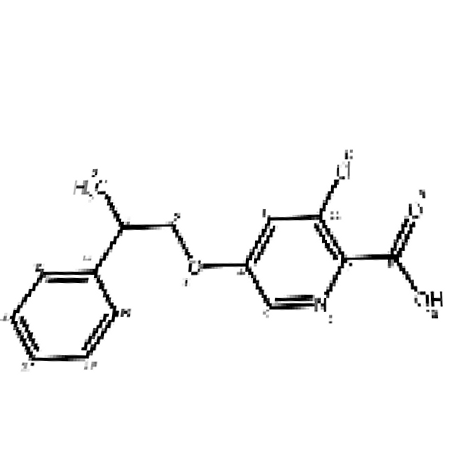 CC(COc1cnc(C(=O)O)c(Cl)c1)c1ccccc1